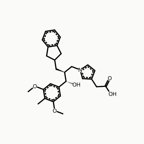 COc1cc([C@@H](O)[C@@H](CC2Cc3ccccc3C2)Cn2ccc(CC(=O)O)c2)cc(OC)c1C